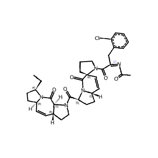 CC[C@@H]1CC[C@@H]2C=C[C@H]3CCN(C(=O)[C@@H]4CC[C@H]5C=C[C@]6(CCCN6C(=O)/C(Cc6ccccc6Cl)=N\C(C)=O)C(=O)N54)[C@@H]3C(=O)N12